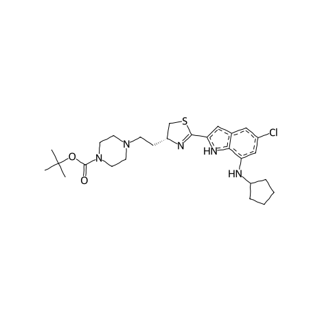 CC(C)(C)OC(=O)N1CCN(CC[C@@H]2CSC(c3cc4cc(Cl)cc(NC5CCCC5)c4[nH]3)=N2)CC1